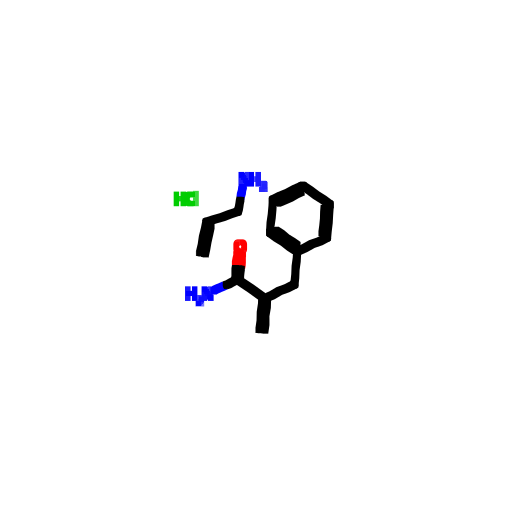 C=C(Cc1ccccc1)C(N)=O.C=CCN.Cl